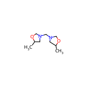 CC1CN(CN2COC(C)C2)CO1